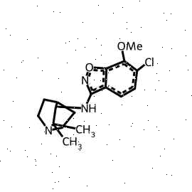 COc1c(Cl)ccc2c(NC3C4CCN(CC4)C3(C)C)noc12